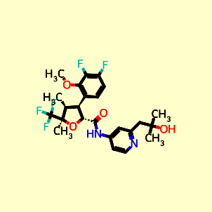 COc1c([C@H]2[C@H](C(=O)Nc3ccnc(CC(C)(C)O)c3)O[C@@](C)(C(F)(F)F)[C@H]2C)ccc(F)c1F